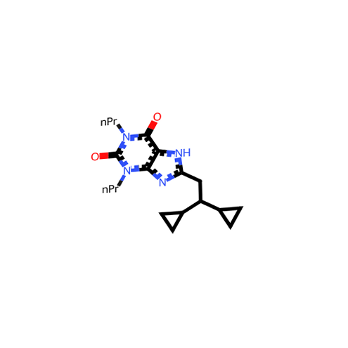 CCCn1c(=O)c2[nH]c(CC(C3CC3)C3CC3)nc2n(CCC)c1=O